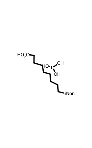 CCCCCCCCCCCCCCCCCC(=O)O.[OH][Ti]([OH])[OH]